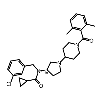 Cc1cccc(C)c1C(=O)N1CCC(N2CC[C@@H](N(Cc3cccc(Cl)c3)C(=O)C3CC3)C2)CC1